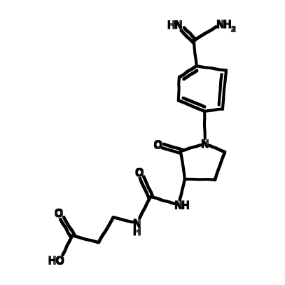 N=C(N)c1ccc(N2CCC(NC(=O)NCCC(=O)O)C2=O)cc1